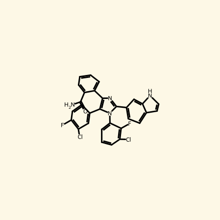 NC(=O)c1ccccc1-c1nc(-c2ccc3cc[nH]c3c2)n(-c2cccc(Cl)c2F)c1-c1ccc(F)c(Cl)c1